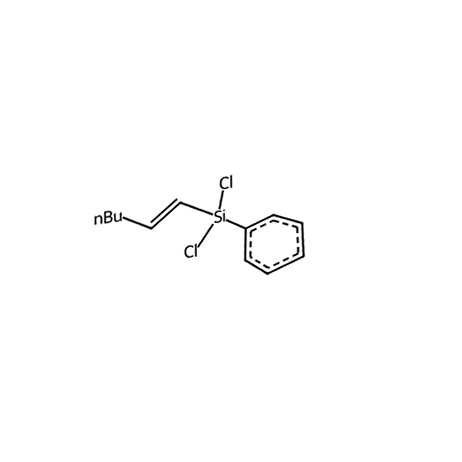 CCCC/C=C/[Si](Cl)(Cl)c1ccccc1